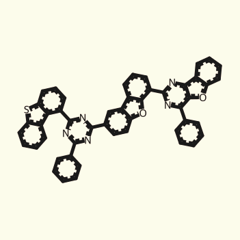 c1ccc(-c2nc(-c3ccc4oc5c(-c6nc(-c7ccccc7)c7oc8ccccc8c7n6)cccc5c4c3)nc(-c3cccc4sc5ccccc5c34)n2)cc1